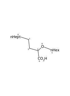 CCCCCCCCCC(OCCCCCC)C(=O)O